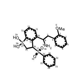 COc1ccccc1CC(N)c1cccc2c1C(S(=O)(=O)c1ccccc1)CS2(O)O